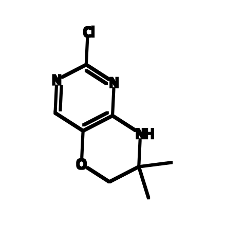 CC1(C)COc2cnc(Cl)nc2N1